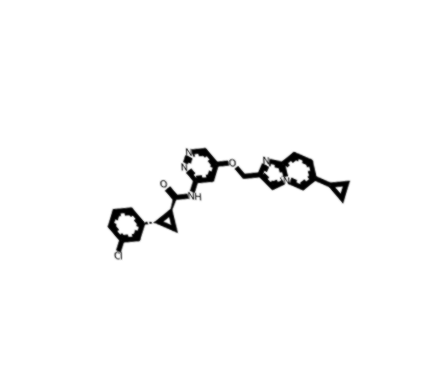 O=C(Nc1cc(OCc2cn3cc(C4CC4)ccc3n2)cnn1)[C@H]1C[C@@H]1c1cccc(Cl)c1